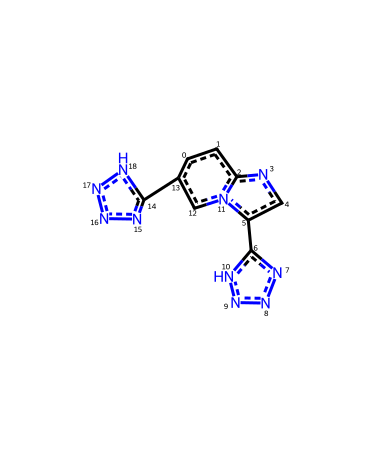 c1cc2ncc(-c3nnn[nH]3)n2cc1-c1nnn[nH]1